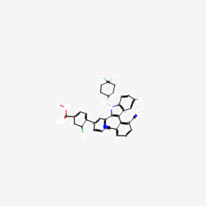 COC(=O)C1=CC=C(c2cccc(-c3c(-c4c(C#N)cccc4C#N)c4cc(F)ccc4n3SC3CCC(F)(F)CC3)c2)C(Cl)C1